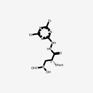 CCCCC[C@H](CN(O)C=O)C(=O)NNc1nc(CC)nc(CC)n1